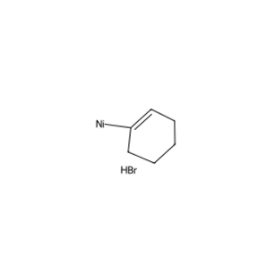 Br.[Ni][C]1=CCCCC1